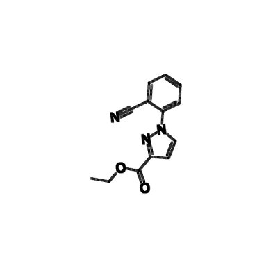 CCOC(=O)c1ccn(-c2ccccc2C#N)n1